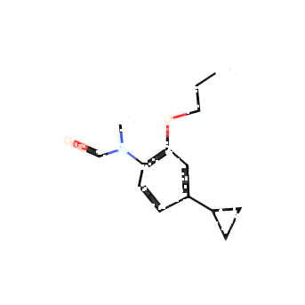 CCCOc1cc(C2CC2)ccc1N(C)C=O